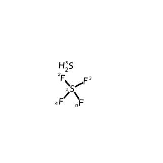 FS(F)(F)F.S